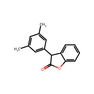 Cc1cc(C)cc(C2C(=O)Oc3ccccc32)c1